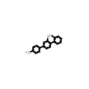 FC(F)(F)c1ccc(-c2ccc(-c3cc[c]cc3Cl)c(Cl)c2)cc1